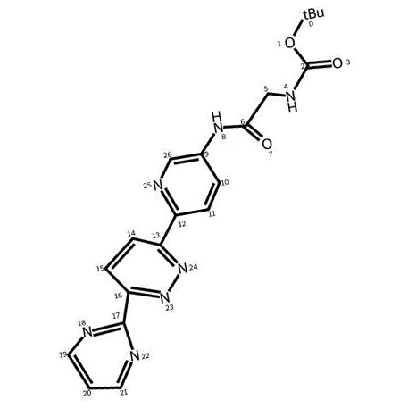 CC(C)(C)OC(=O)NCC(=O)Nc1ccc(-c2ccc(-c3ncccn3)nn2)nc1